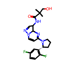 CC(C)(CO)C(=O)NC1C=NN2C=CC(N3CCC[C@@H]3c3cc(F)ccc3F)=NC12